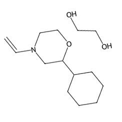 C=CN1CCOC(C2CCCCC2)C1.OCCO